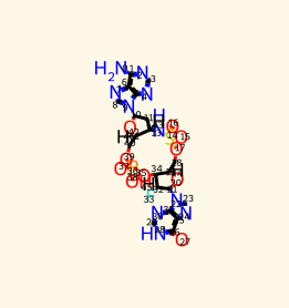 Nc1ncnc2c1ncn2[C@H]1C[C@@H]2NS(=O)(=O)OC[C@H]3O[C@@H](n4cnc5c(=O)[nH]cnc54)[C@H](F)[C@@H]3OP(=O)(O)OC[C@H]2O1